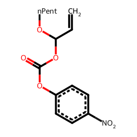 C=CC(OCCCCC)OC(=O)Oc1ccc([N+](=O)[O-])cc1